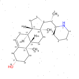 C[C@H]([C@@H]1CCCCN1)[C@H]1CC[C@H]2[C@@H]3CC=C4C[C@@H](O)CC[C@]4(C)[C@H]3CC[C@]12C